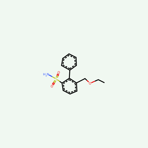 CCOCc1cccc(S(N)(=O)=O)c1-c1ccccc1